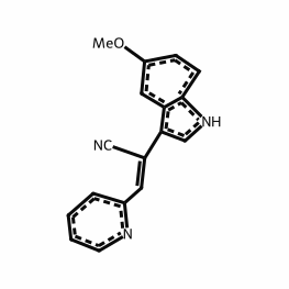 COc1ccc2[nH]cc(/C(C#N)=C/c3ccccn3)c2c1